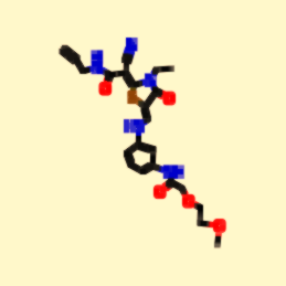 C#CCNC(=O)C(C#N)=c1sc(=CNc2cccc(NC(=O)COCCOC)c2)c(=O)n1CC